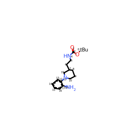 CC(C)(C)OC(=O)NCCC1CCCN(c2ccccc2N)C1